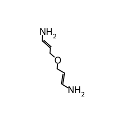 NC=CCOCC=CN